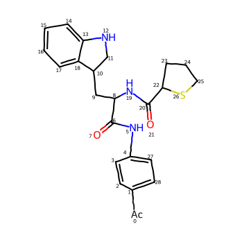 CC(=O)c1ccc(NC(=O)C(CC2CNc3ccccc32)NC(=O)C2CCCS2)cc1